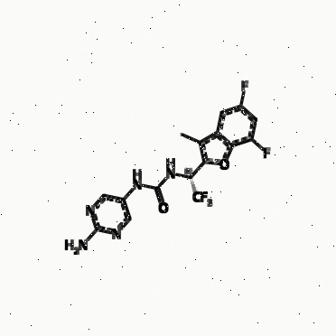 Cc1c([C@@H](NC(=O)Nc2cnc(N)nc2)C(F)(F)F)oc2c(F)cc(F)cc12